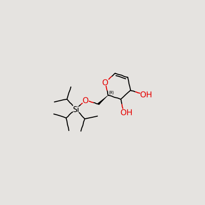 CC(C)[Si](OC[C@H]1OC=CC(O)C1O)(C(C)C)C(C)C